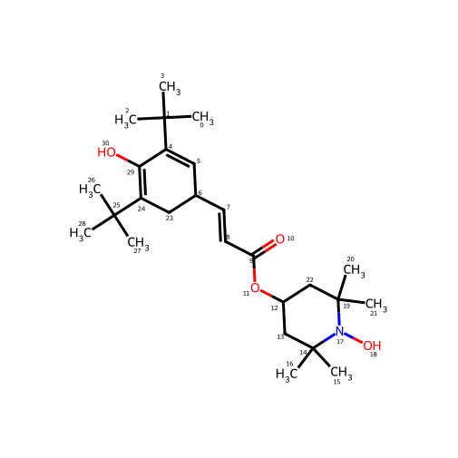 CC(C)(C)C1=CC(C=CC(=O)OC2CC(C)(C)N(O)C(C)(C)C2)CC(C(C)(C)C)=C1O